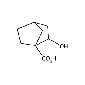 O=C(O)C12CCC(CC1O)C2